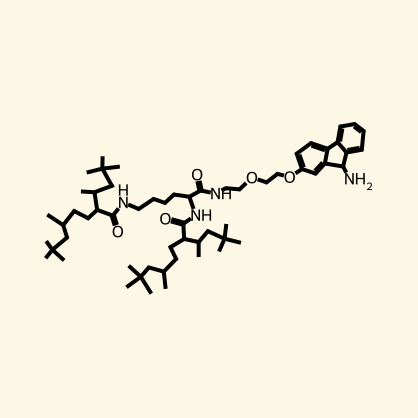 CC(CCC(C(=O)NCCCCC(NC(=O)C(CCC(C)CC(C)(C)C)C(C)CC(C)(C)C)C(=O)NCCOCCOc1ccc2c(c1)C(N)c1ccccc1-2)C(C)CC(C)(C)C)CC(C)(C)C